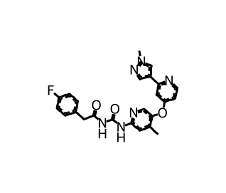 Cc1cc(NC(=O)NC(=O)Cc2ccc(F)cc2)ncc1Oc1ccnc(-c2cnn(C)c2)c1